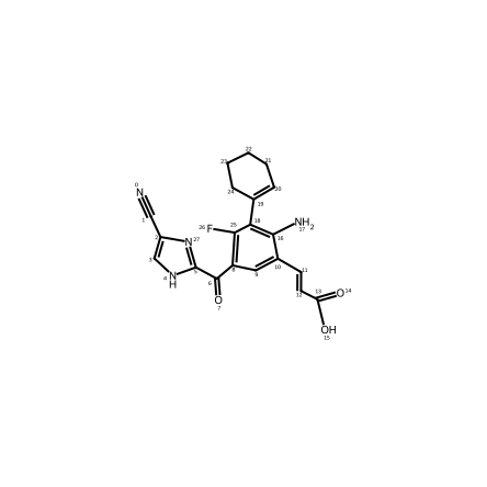 N#Cc1c[nH]c(C(=O)c2cc(C=CC(=O)O)c(N)c(C3=CCCCC3)c2F)n1